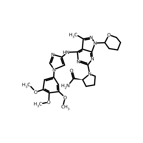 COc1cc(-n2cnc(Nc3nc(N4CCC[C@H]4C(N)=O)nc4c3c(C)nn4C3CCCCO3)c2)cc(OC)c1OC